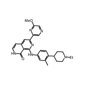 CCN1CCC(c2ccc(Nc3nc(-c4cncc(OC)n4)cc4cc[nH]c(=O)c34)cc2C)CC1